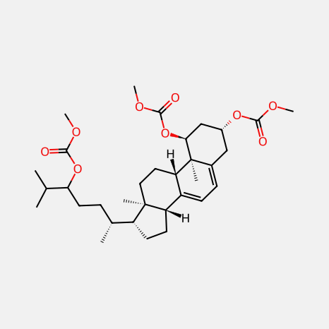 COC(=O)OC(CC[C@@H](C)[C@H]1CC[C@H]2C3=CC=C4C[C@@H](OC(=O)OC)C[C@H](OC(=O)OC)[C@]4(C)[C@H]3CC[C@]12C)C(C)C